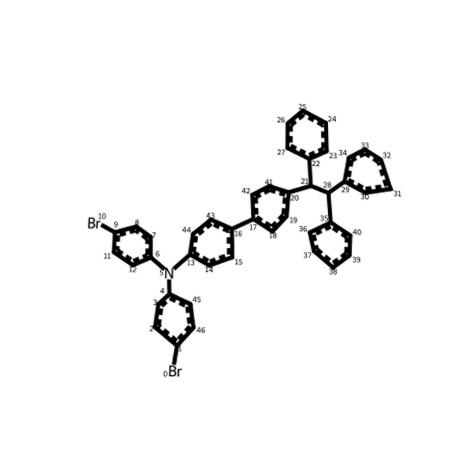 Brc1ccc(N(c2ccc(Br)cc2)c2ccc(-c3ccc(C(c4ccccc4)C(c4ccccc4)c4ccccc4)cc3)cc2)cc1